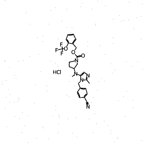 Cc1ncc(N(C)C2CCN(C(=O)OCc3ccccc3OC(F)(F)F)C2)n1Cc1ccc(C#N)cc1.Cl